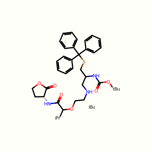 CC[C@H](C)C(COC(C(=O)N[C@@H]1CCOC1=O)C(C)C)NCC(CSC(c1ccccc1)(c1ccccc1)c1ccccc1)NC(=O)OC(C)(C)C